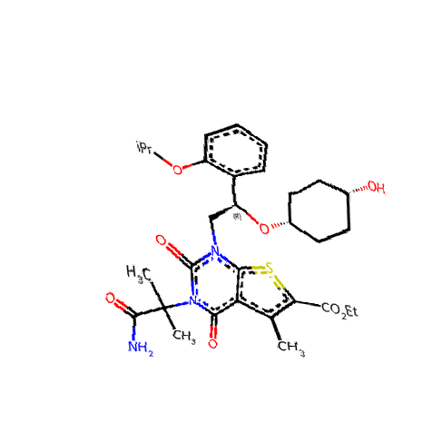 CCOC(=O)c1sc2c(c1C)c(=O)n(C(C)(C)C(N)=O)c(=O)n2C[C@H](O[C@H]1CC[C@@H](O)CC1)c1ccccc1OC(C)C